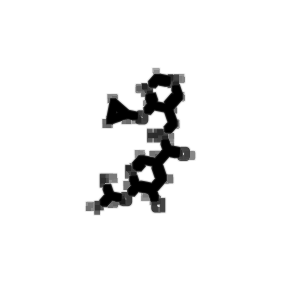 O=C(NCc1cncnc1OC1CC1)c1cnc(OC(F)F)c(Cl)c1